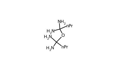 CCCC(N)(N)OC(N)(N)CCC